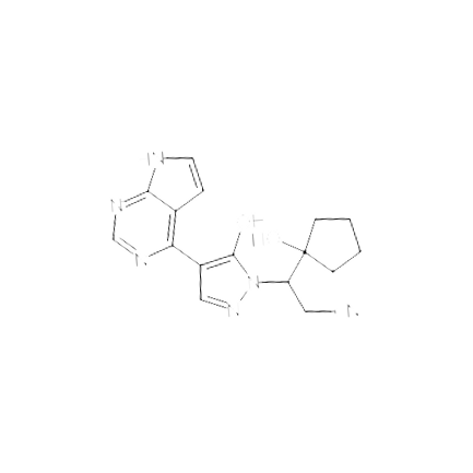 N#CCC(n1ncc(-c2ncnc3[nH]ccc23)c1O)C1(O)CCCC1